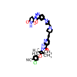 CC1(C)C(NC(=O)c2ccc(C#CC3CCN(CC4CN(c5ccc6nnn(C7CCC(=O)NC7=O)c(=O)c6c5)C4)CC3)nc2)C(C)(C)C1Oc1ccc(C#N)c(Cl)c1